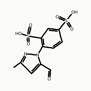 Cc1cc(C=O)n(-c2ccc(S(=O)(=O)O)cc2S(=O)(=O)O)n1